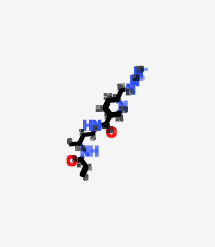 C=CC(=O)NC(C)CCNC(=O)c1ccc(CN=[N+]=[N-])nc1